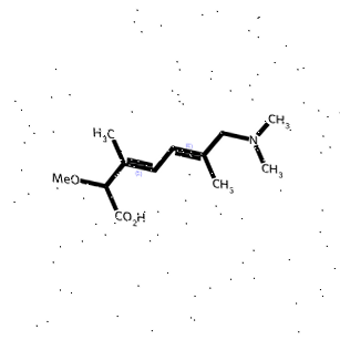 COC(C(=O)O)/C(C)=C/C=C(\C)CN(C)C